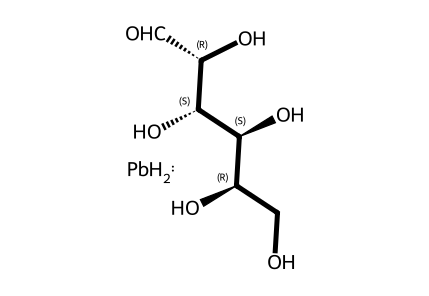 O=C[C@H](O)[C@@H](O)[C@@H](O)[C@H](O)CO.[PbH2]